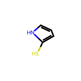 Sc1ccc[nH]1